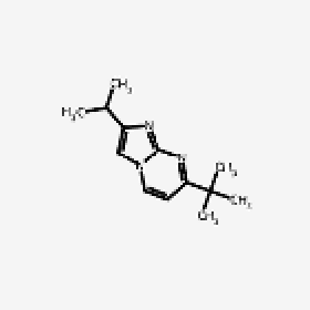 CC(C)c1cn2ccc(C(C)(C)C)nc2n1